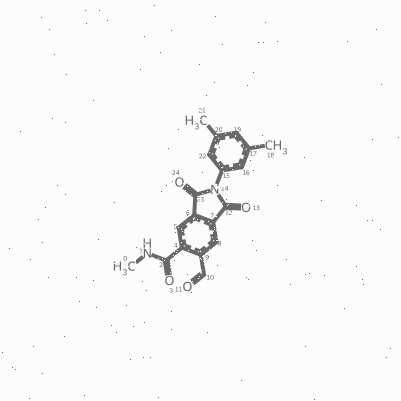 CNC(=O)c1cc2c(cc1C=O)C(=O)N(c1cc(C)cc(C)c1)C2=O